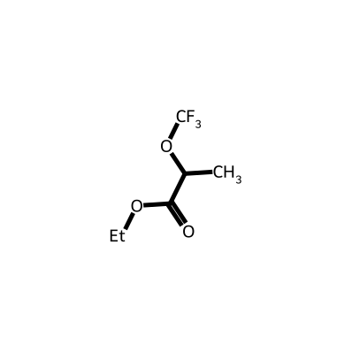 CCOC(=O)C(C)OC(F)(F)F